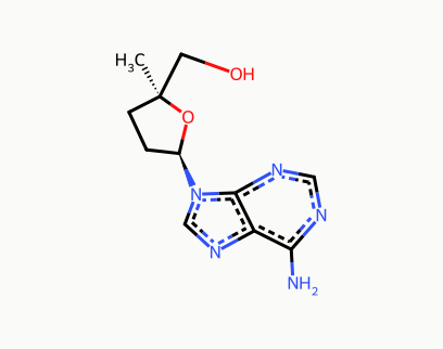 C[C@@]1(CO)CC[C@H](n2cnc3c(N)ncnc32)O1